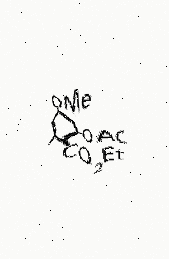 CCOC(=O)c1c(C)cc(OC)cc1OC(C)=O